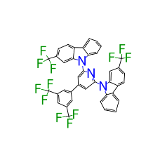 FC(F)(F)c1cc(-c2cc(-n3c4ccccc4c4ccc(C(F)(F)F)cc43)nc(-n3c4ccccc4c4ccc(C(F)(F)F)cc43)c2)cc(C(F)(F)F)c1